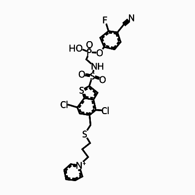 N#Cc1ccc(OP(=O)(O)CNS(=O)(=O)c2cc3c(Cl)c(CSCCC[n+]4ccccc4)cc(Cl)c3s2)cc1F